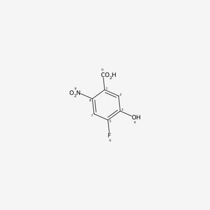 O=C(O)c1cc(O)c(F)cc1[N+](=O)[O-]